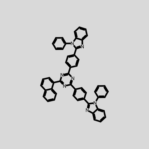 c1ccc(-n2c(-c3ccc(-c4nc(-c5ccc(-c6nc7ccccc7n6-c6ccccc6)cc5)nc(-c5cccc6ccccc56)n4)cc3)nc3ccccc32)cc1